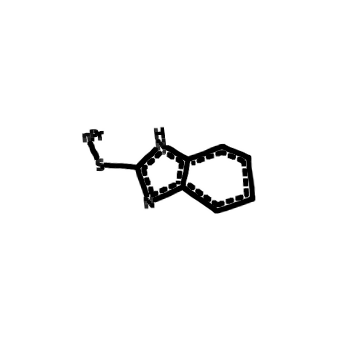 CCCSc1nc2ccccc2[nH]1